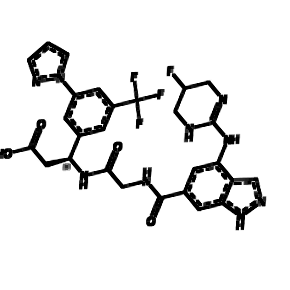 O=C(O)C[C@H](NC(=O)CNC(=O)c1cc(NC2=NCC(F)CN2)c2cn[nH]c2c1)c1cc(-n2cccn2)cc(C(F)(F)F)c1